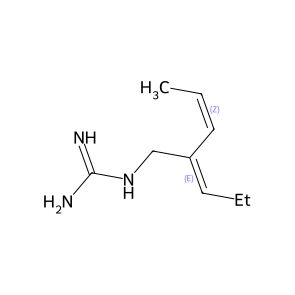 C/C=C\C(=C/CC)CNC(=N)N